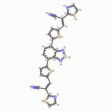 N#C/C(=C\c1ccc(-c2ccc(-c3ccc(/C=C(\C#N)c4nccs4)s3)c3nsnc23)s1)c1nccs1